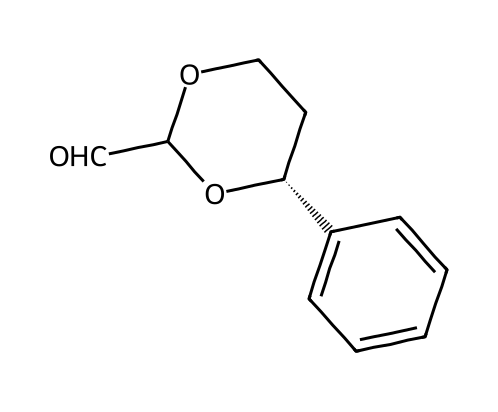 O=CC1OCC[C@H](c2ccccc2)O1